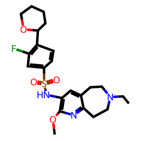 CCN1CCc2cc(NS(=O)(=O)c3ccc(C4CCCCO4)c(F)c3)c(OC)nc2CC1